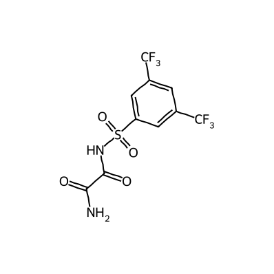 NC(=O)C(=O)NS(=O)(=O)c1cc(C(F)(F)F)cc(C(F)(F)F)c1